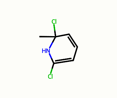 CC1(Cl)C=CC=C(Cl)N1